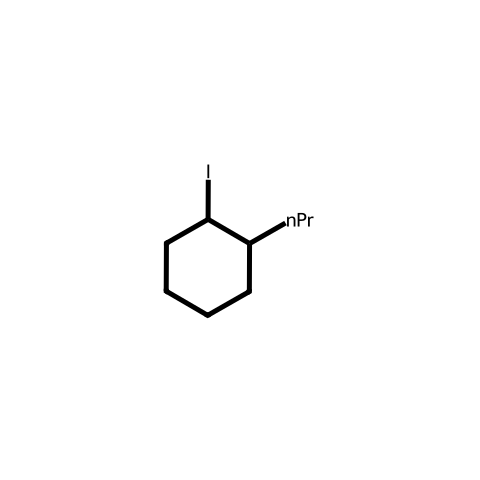 CCCC1CCCCC1I